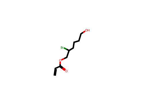 C=CC(=O)OCC(Br)CCCCO